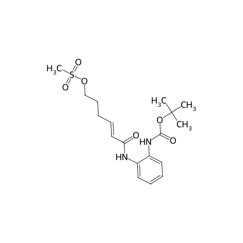 CC(C)(C)OC(=O)Nc1ccccc1NC(=O)/C=C/CCCOS(C)(=O)=O